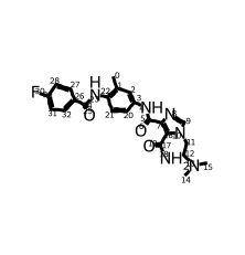 Cc1cc(NC(=O)c2ncn(CCN(C)C)c2C(N)=O)ccc1NC(=O)c1ccc(F)cc1